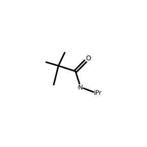 CC(C)[N]C(=O)C(C)(C)C